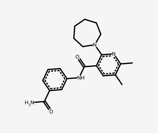 Cc1cc(C(=O)Nc2cccc(C(N)=O)c2)c(N2CCCCCC2)nc1C